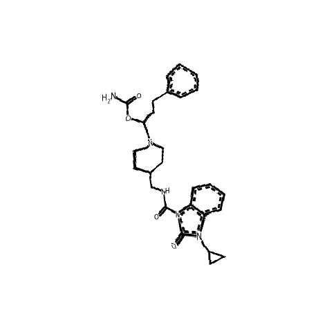 NC(=O)OC(CCc1ccccc1)N1CCC(CNC(=O)n2c(=O)n(C3CC3)c3ccccc32)CC1